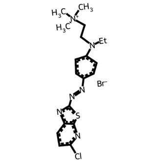 CCN(CC[N+](C)(C)C)c1ccc(N=Nc2nc3ccc(Cl)nc3s2)cc1.[Br-]